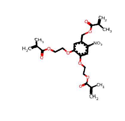 C=C(C)C(=O)OCCOc1cc(COC(=O)C(=C)C)c([N+](=O)[O-])cc1OCCOC(=O)C(=C)C